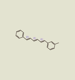 Cc1cccc(/C=C/C=C/C=C/c2ccccc2)c1